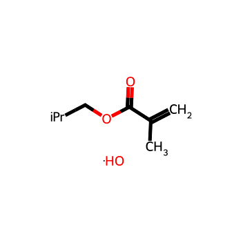 C=C(C)C(=O)OCC(C)C.[OH]